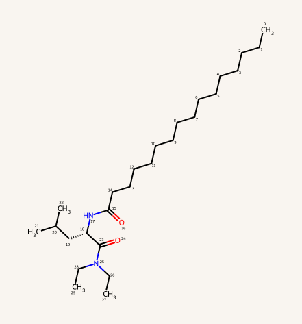 CCCCCCCCCCCCCCCC(=O)N[C@@H](CC(C)C)C(=O)N(CC)CC